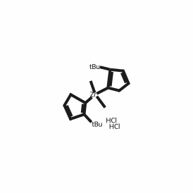 CC(C)(C)C1=[C]([Zr]([CH3])([CH3])[C]2=C(C(C)(C)C)C=CC2)CC=C1.Cl.Cl